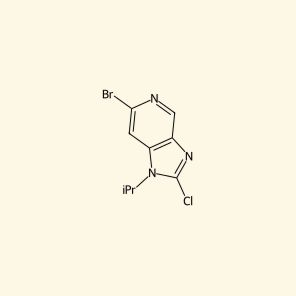 CC(C)n1c(Cl)nc2cnc(Br)cc21